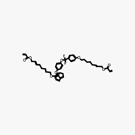 C=CC(=O)OC/C=C/CCCCCOC1=C/CC/C=C(C(F)(F)Oc2ccc(OC(F)(F)c3ccc(OCCCCC/C=C/COC(=O)C=C)cc3)cc2)/C=C\1